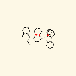 C=c1cccc(-c2ccc(-n3cnnc3)cc2)/c1=C(/C=C\C)c1ccc(-n2c3ccccc3c3ccccc32)cc1